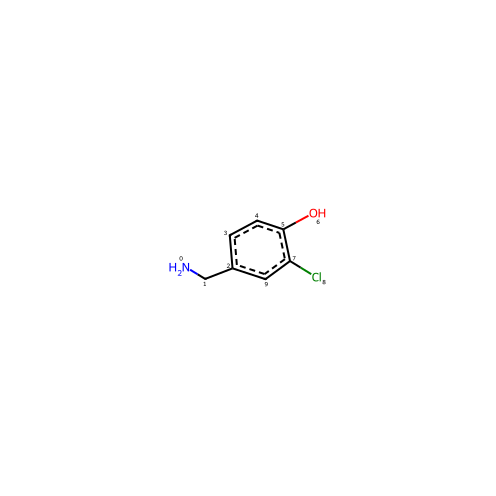 NCc1ccc(O)c(Cl)c1